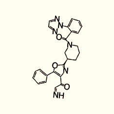 N=CC(=O)c1nc([C@@H]2CCCN(C(=O)c3ccccc3-n3nccn3)C2)oc1-c1ccccc1